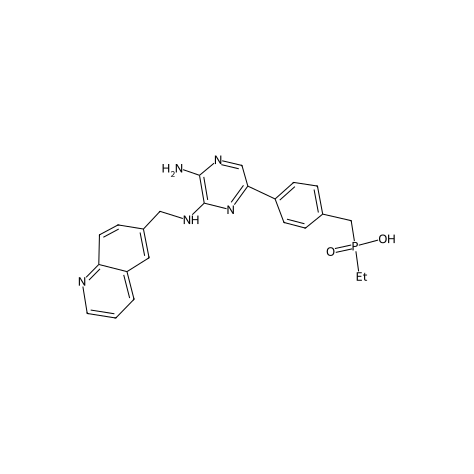 CCP(=O)(O)Cc1ccc(-c2cnc(N)c(NCc3ccc4ncccc4c3)n2)cc1